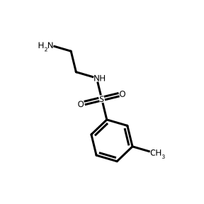 Cc1cccc(S(=O)(=O)NCCN)c1